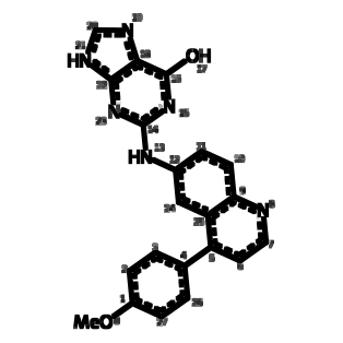 COc1ccc(-c2ccnc3ccc(Nc4nc(O)c5nc[nH]c5n4)cc23)cc1